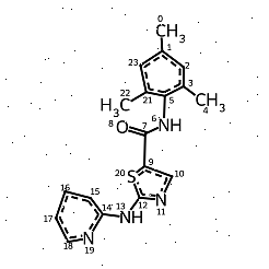 Cc1cc(C)c(NC(=O)c2cnc(Nc3ccccn3)s2)c(C)c1